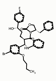 CCCCOc1cc(Br)ccc1[C@@H](Nc1ccccc1)[C@@H](CC[C@H](O)c1ccc(F)cc1)C(=O)N1C(=O)OC[C@@H]1Cc1ccccc1